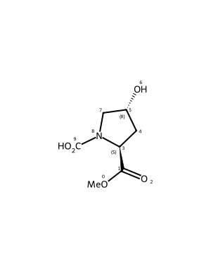 COC(=O)[C@@H]1C[C@@H](O)CN1C(=O)O